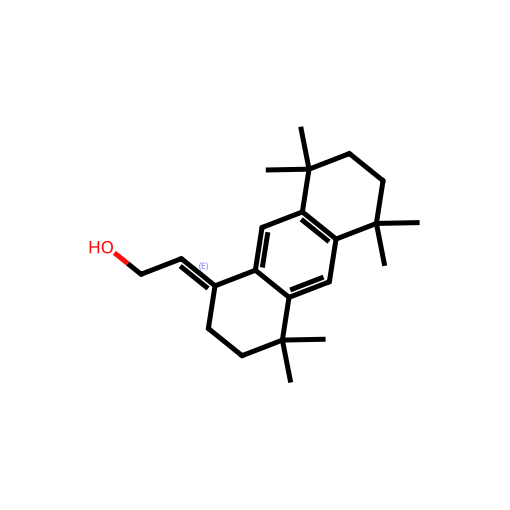 CC1(C)CC/C(=C\CO)c2cc3c(cc21)C(C)(C)CCC3(C)C